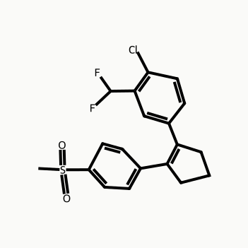 CS(=O)(=O)c1ccc(C2=C(c3ccc(Cl)c(C(F)F)c3)CCC2)cc1